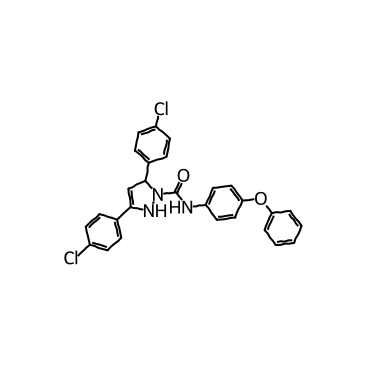 O=C(Nc1ccc(Oc2ccccc2)cc1)N1NC(c2ccc(Cl)cc2)=CC1c1ccc(Cl)cc1